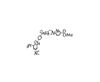 [C-]#[N+]c1cc(C(C)C)c2oc(-c3ccc(C(=O)NCC4CCN(c5ccc(C(=O)OC)cn5)CC4)cc3)nc2c1